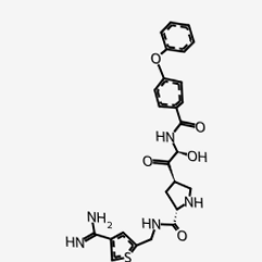 N=C(N)c1csc(CNC(=O)[C@@H]2C[C@@H](C(=O)[C@H](O)NC(=O)c3ccc(Oc4ccccc4)cc3)CN2)c1